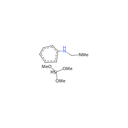 CNCNc1ccccc1.CO[SiH](OC)OC